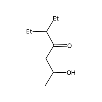 CCC(CC)C(=O)CC(C)O